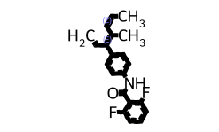 C=C/C(=C(C)\C=C/C)c1ccc(NC(=O)c2c(F)cccc2F)cc1